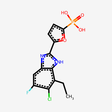 CCc1c(Cl)c(F)cc2nc(-c3ccc(P(=O)(O)O)o3)[nH]c12